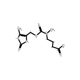 Cc1oc(=O)oc1COC(=O)N(C)CCCC(=O)Cl